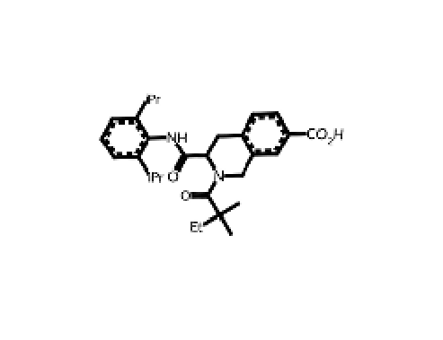 CCC(C)(C)C(=O)N1Cc2cc(C(=O)O)ccc2CC1C(=O)Nc1c(C(C)C)cccc1C(C)C